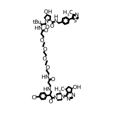 Cc1ncsc1-c1ccc(CNC(=O)[C@@H]2C[C@@H](O)CN2C(=O)C(NC(=O)CCOCCOCCOCCOCCNC(=O)CCNCC(C(=O)N2CCN(c3ncnc4c3[C@H](C)C[C@H]4O)CC2)c2ccc(Cl)cc2)C(C)(C)C)cc1